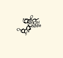 CNc1cnc(-c2cc(Cl)ccc2F)cc1Nc1ccncc1C(=O)NCC(C)O